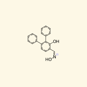 O/N=C\c1ccc(-c2ccccc2)c(-c2ccccc2)c1O